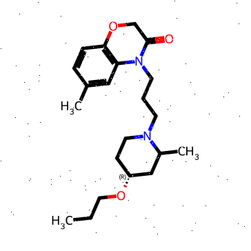 CCCO[C@@H]1CCN(CCCN2C(=O)COc3ccc(C)cc32)C(C)C1